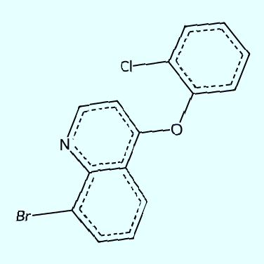 Clc1ccccc1Oc1ccnc2c(Br)cccc12